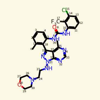 Cc1cccc(NC(=O)Nc2cccc(Cl)c2C(F)(F)F)c1-c1nn(NCCN2CCOCC2)c2ncnc(C)c12